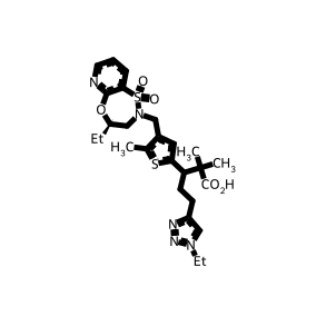 CC[C@@H]1CN(Cc2cc(C(CCc3cn(CC)nn3)C(C)(C)C(=O)O)sc2C)S(=O)(=O)c2cccnc2O1